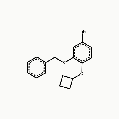 CC(C)c1ccc(OC2CCC2)c(SCc2ccccc2)c1